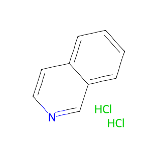 Cl.Cl.c1ccc2cnccc2c1